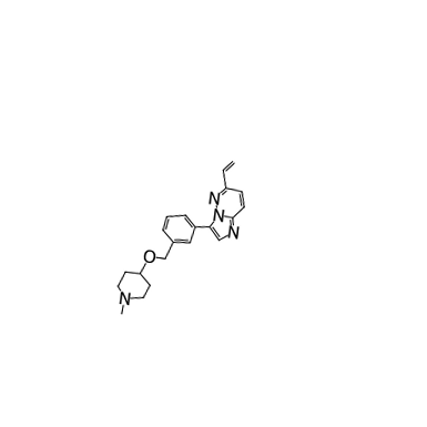 C=Cc1ccc2ncc(-c3cccc(COC4CCN(C)CC4)c3)n2n1